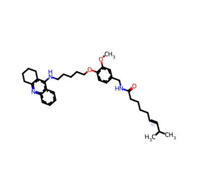 COc1cc(CNC(=O)CCCC/C=C/C(C)C)ccc1OCCCCCNc1c2c(nc3ccccc13)CCCC2